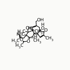 CC(=O)C[C@]1(C)[C@H](OC(C)=O)[C@@H](C)[C@@]2(C)[C@@H](C=C(CO)C[C@]3(O)C(=O)C(C)=C[C@@H]23)C1(C)C